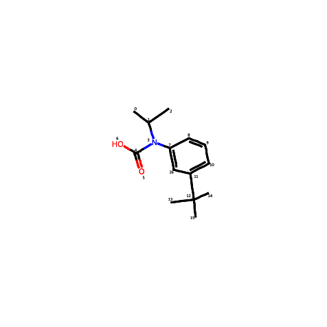 CC(C)N(C(=O)O)c1cccc(C(C)(C)C)c1